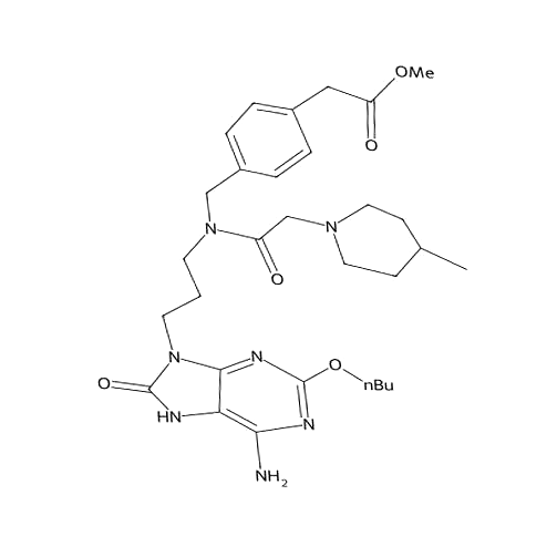 CCCCOc1nc(N)c2[nH]c(=O)n(CCCN(Cc3ccc(CC(=O)OC)cc3)C(=O)CN3CCC(C)CC3)c2n1